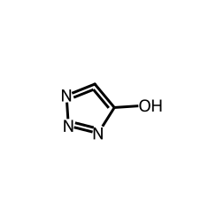 OC1=C=NN=N1